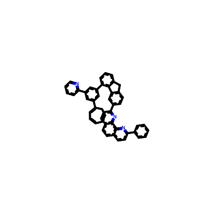 C1=CC=C(c2cc(-c3ccccn3)cc(-c3cccc4c3-c3cc(-c5ccc6ccc7ccc(-c8ccccc8)nc7c6n5)ccc3C4)c2)CC=C1